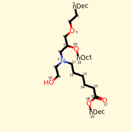 CCCCCCCCCCCCOCC(CN(CCO)CCCCCC(=O)OCCCCCCCCCC)OCCCCCCCC